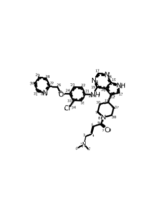 CN(C)C/C=C/C(=O)N1CCC(c2c[nH]c3ncnc(Nc4ccc(OCc5ccccn5)c(Cl)c4)c23)CC1